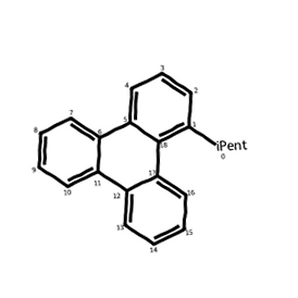 CCCC(C)c1cccc2c3ccccc3c3ccccc3c12